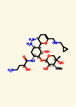 CN[C@@H]1[C@@H](O)[C@@H](O[C@@H]2[C@@H](O)[C@H](C3OC(CNCC4CC4)=CC[C@H]3N)[C@@H](N)C[C@H]2NC(=O)[C@@H](O)CCN)OC[C@]1(C)O